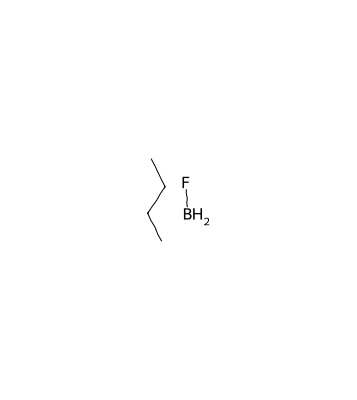 BF.CCCC